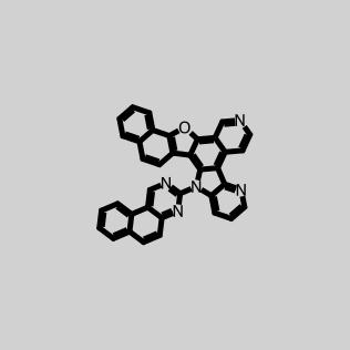 c1ccc2c(c1)ccc1nc(-n3c4cccnc4c4c5ccncc5c5oc6c7ccccc7ccc6c5c43)ncc12